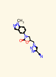 Cn1ncc2cc(N3CC(Cn4cc(C#N)nn4)OC3=O)ccc21